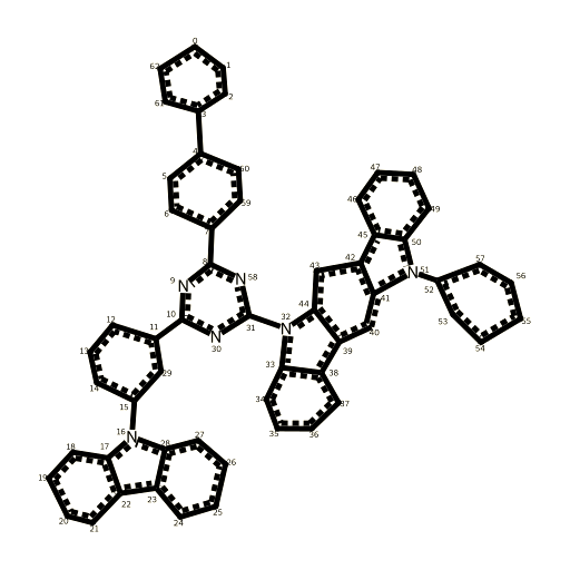 c1ccc(-c2ccc(-c3nc(-c4cccc(-n5c6ccccc6c6ccccc65)c4)nc(-n4c5ccccc5c5cc6c(cc54)c4ccccc4n6-c4ccccc4)n3)cc2)cc1